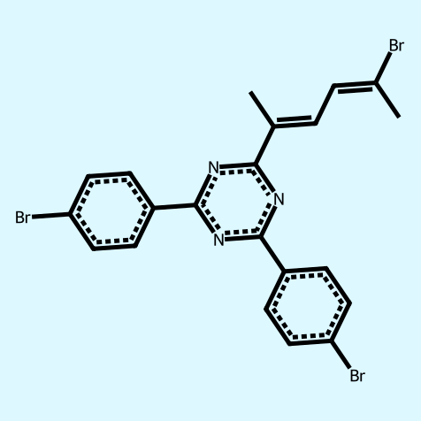 C/C(Br)=C\C=C(/C)c1nc(-c2ccc(Br)cc2)nc(-c2ccc(Br)cc2)n1